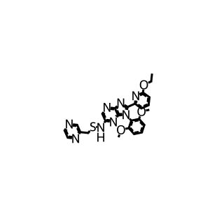 CCOc1cccc(-c2nc3ncc(NSCc4cnccn4)nc3n2-c2c(OC)cccc2OC)n1